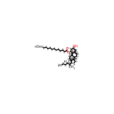 CCCCCCCCCCCCCCCCCCCCCC(=O)OC1C[C@H](O)CC2=CC[C@H]3[C@@H]4CC[C@H]([C@H](C)CCCC(C)C)[C@@]4(C)CC[C@@H]3[C@]21C